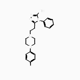 Cc1nnc(CCN2CCN(c3ccc(F)cc3)CC2)n1-c1ccccc1